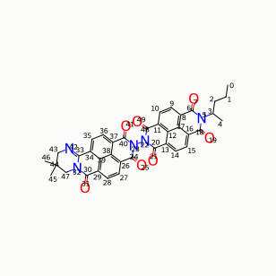 CCCC(C)N1C(=O)c2ccc3c4c(ccc(c24)C1=O)C(=O)N(N1C(=O)c2ccc4c(=O)n5c(c6ccc(c2c46)C1=O)=NCC(C)(C)C5)C3=O